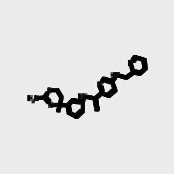 CC1(c2cccc(NC(=O)c3ccc(NCc4ccccn4)cn3)c2)CCSC(N)=N1